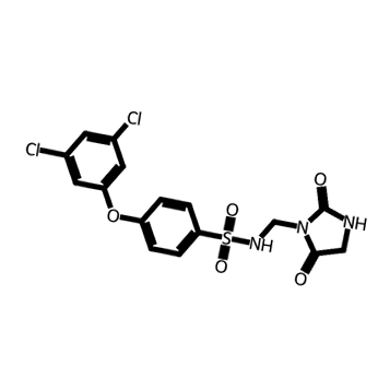 O=C1CNC(=O)N1CNS(=O)(=O)c1ccc(Oc2cc(Cl)cc(Cl)c2)cc1